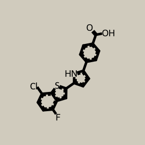 O=C(O)c1ccc(-c2ccc(-c3cc4c(F)ccc(Cl)c4s3)[nH]2)cc1